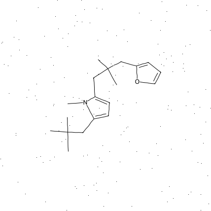 Cn1c(CC(C)(C)C)ccc1CC(C)(C)Cc1ccco1